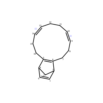 C1=CC2CC1C1=C2CC/C=C\CC/C=C\CC1